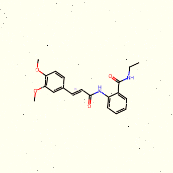 CCNC(=O)c1ccccc1NC(=O)/C=C/c1ccc(OC)c(OC)c1